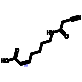 N#CCC(=O)NCCCC/C=C\C(=O)O